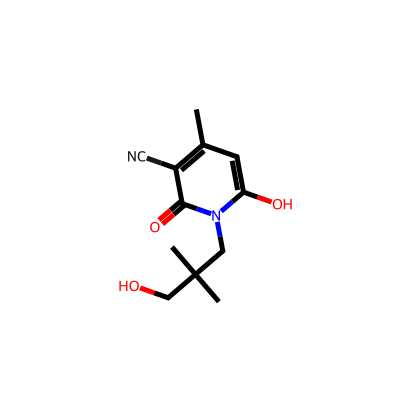 Cc1cc(O)n(CC(C)(C)CO)c(=O)c1C#N